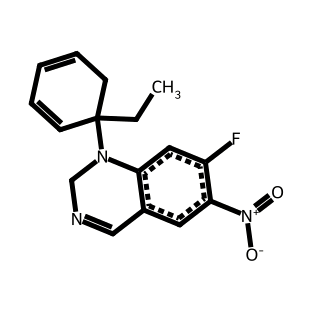 CCC1(N2CN=Cc3cc([N+](=O)[O-])c(F)cc32)C=CC=CC1